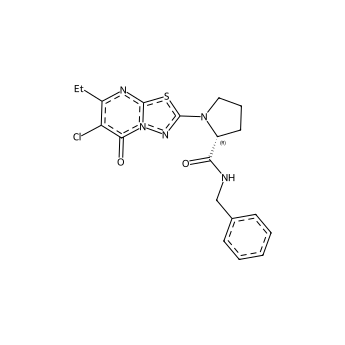 CCc1nc2sc(N3CCC[C@@H]3C(=O)NCc3ccccc3)nn2c(=O)c1Cl